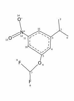 C[C](C)c1cc(OC(F)F)cc([N+](=O)[O-])c1